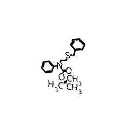 CC(C)(C)OC(=O)N(CCSCc1ccccc1)c1ccccc1